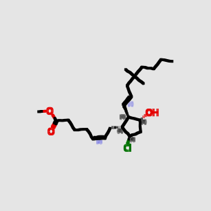 CCCCC(C)(C)C/C=C/[C@@H]1[C@@H](C/C=C\CCCC(=O)OC)[C@H](Cl)C[C@H]1O